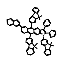 CC1(C)c2ccccc2-c2ccc(-c3c4cc(-c5ccc6ccccc6c5)ccc4c(-c4ccc5c(c4)C(C)(C)c4ccccc4-5)c4cc5c(cc34)c(-c3ccccc3)c(-c3ccccc3)n5-c3ccc4c(c3)C(C)(C)c3ccccc3-4)cc21